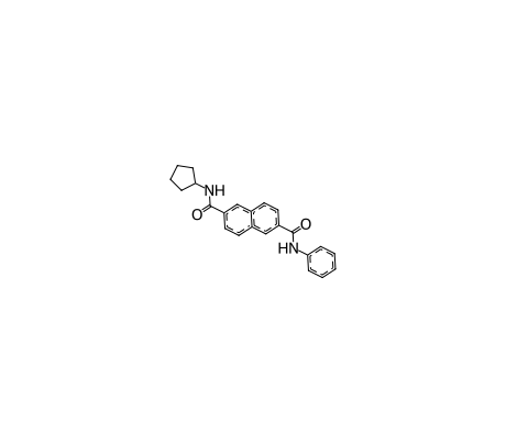 O=C(Nc1ccccc1)c1ccc2cc(C(=O)NC3CCCC3)ccc2c1